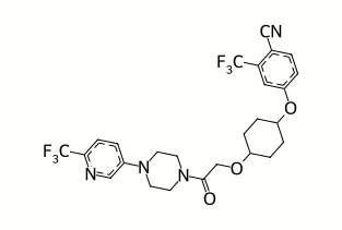 N#Cc1ccc(OC2CCC(OCC(=O)N3CCN(c4ccc(C(F)(F)F)nc4)CC3)CC2)cc1C(F)(F)F